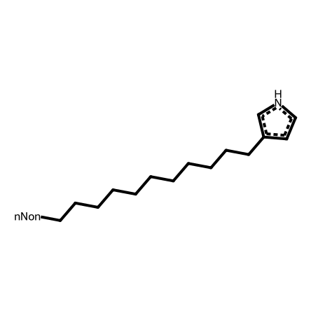 CCCCCCCCCCCCCCCCCCCCc1cc[nH]c1